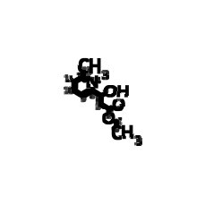 CCOC(=O)CC(O)c1cccc(C)n1